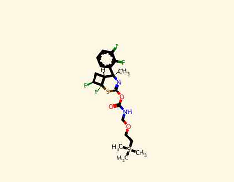 C[C@]1(c2cccc(F)c2F)N=C(OC(=O)NCOCC[Si](C)(C)C)S[C@]2(F)[C@H]1C[C@@H]2F